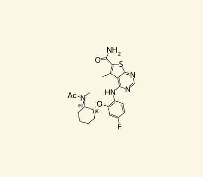 CC(=O)N(C)[C@@H]1CCCC[C@H]1Oc1cc(F)ccc1Nc1ncnc2sc(C(N)=O)c(C)c12